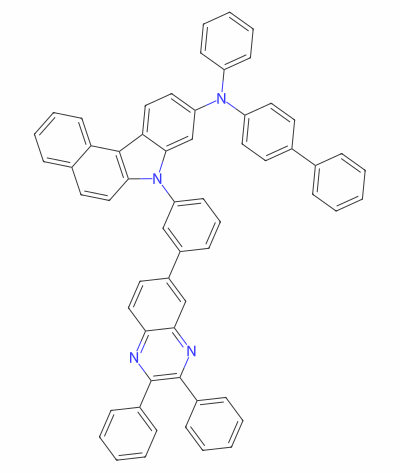 c1ccc(-c2ccc(N(c3ccccc3)c3ccc4c5c6ccccc6ccc5n(-c5cccc(-c6ccc7nc(-c8ccccc8)c(-c8ccccc8)nc7c6)c5)c4c3)cc2)cc1